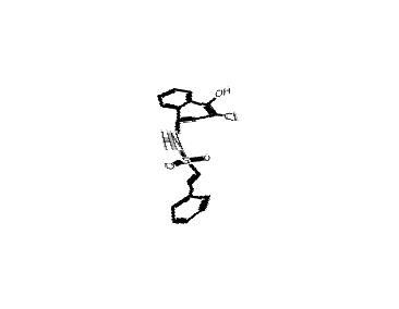 O=S(=O)(/C=C/c1ccccc1)Nc1cc(Cl)c(O)c2ccccc12